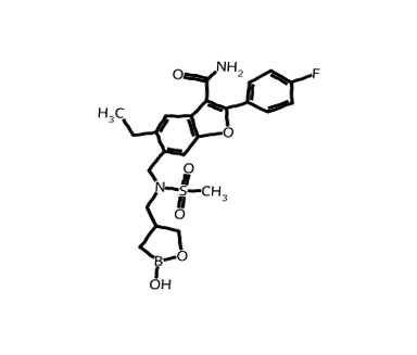 CCc1cc2c(C(N)=O)c(-c3ccc(F)cc3)oc2cc1CN(CC1COB(O)C1)S(C)(=O)=O